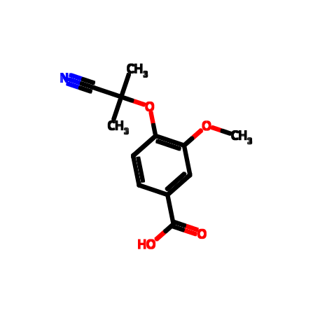 COc1cc(C(=O)O)ccc1OC(C)(C)C#N